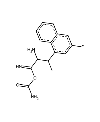 CC(c1cc(F)cc2ccccc12)C(N)C(=N)OC(N)=O